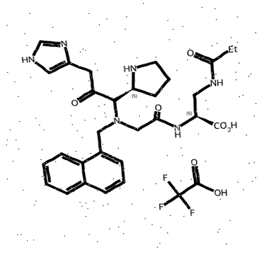 CCC(=O)NC[C@H](NC(=O)CN(Cc1cccc2ccccc12)C(C(=O)Cc1c[nH]cn1)[C@@H]1CCCN1)C(=O)O.O=C(O)C(F)(F)F